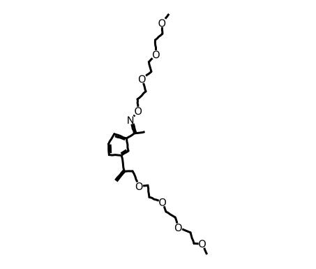 C=C(COCCOCCOCCOC)c1cccc(/C(C)=N/OCCOCCOCCOC)c1